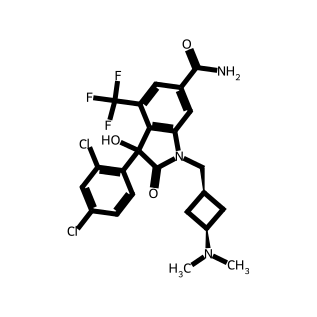 CN(C)[C@H]1C[C@@H](CN2C(=O)C(O)(c3ccc(Cl)cc3Cl)c3c2cc(C(N)=O)cc3C(F)(F)F)C1